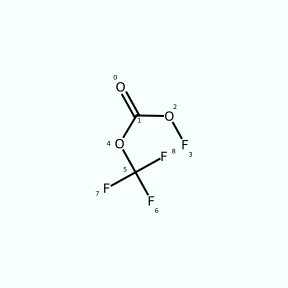 O=C(OF)OC(F)(F)F